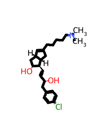 CN(C)CCCCCC1=C[C@H]2C[C@@H](O)[C@H](/C=C/[C@H](O)Cc3ccc(Cl)cc3)[C@H]2C1